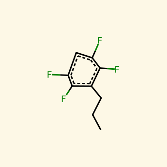 CCCc1c(F)c(F)cc(F)c1F